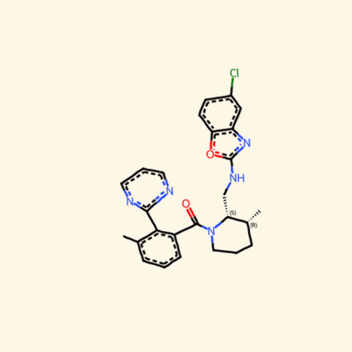 Cc1cccc(C(=O)N2CCC[C@@H](C)[C@H]2CNc2nc3cc(Cl)ccc3o2)c1-c1ncccn1